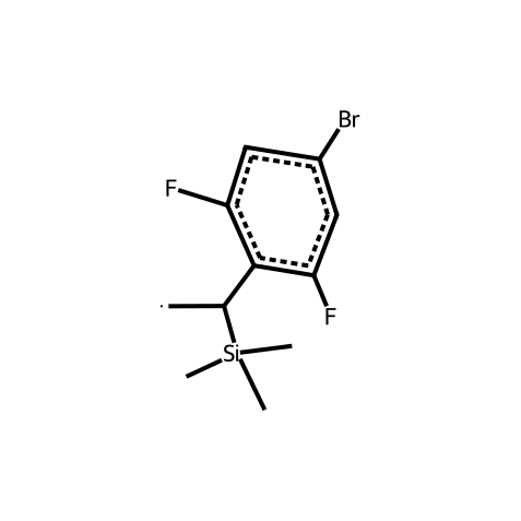 [CH2]C(c1c(F)cc(Br)cc1F)[Si](C)(C)C